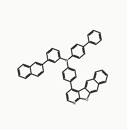 c1ccc(-c2ccc(N(c3ccc(-c4ccnc5oc6cc7ccccc7cc6c45)cc3)c3cccc(-c4ccc5ccccc5c4)c3)cc2)cc1